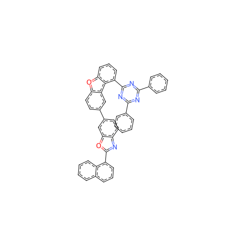 c1ccc(-c2nc(-c3ccccc3)nc(-c3cccc4oc5ccc(-c6ccc7nc(-c8cccc9ccccc89)oc7c6)cc5c34)n2)cc1